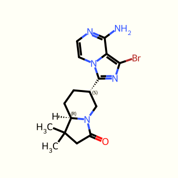 CC1(C)CC(=O)N2C[C@@H](c3nc(Br)c4c(N)nccn34)CC[C@@H]21